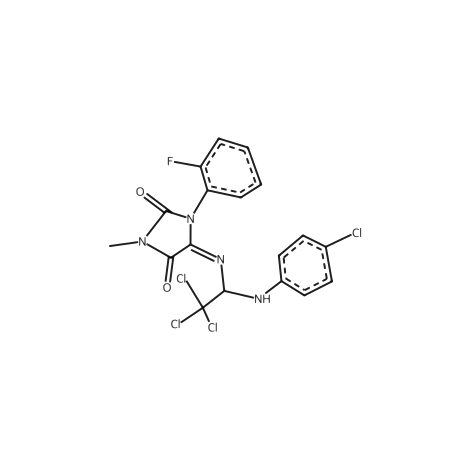 CN1C(=O)C(=NC(Nc2ccc(Cl)cc2)C(Cl)(Cl)Cl)N(c2ccccc2F)C1=O